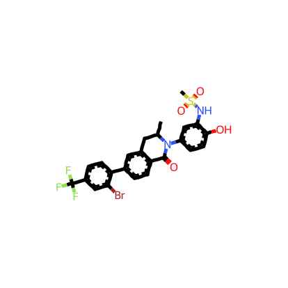 CC1Cc2cc(-c3ccc(C(F)(F)F)cc3Br)ccc2C(=O)N1c1ccc(O)c(NS(C)(=O)=O)c1